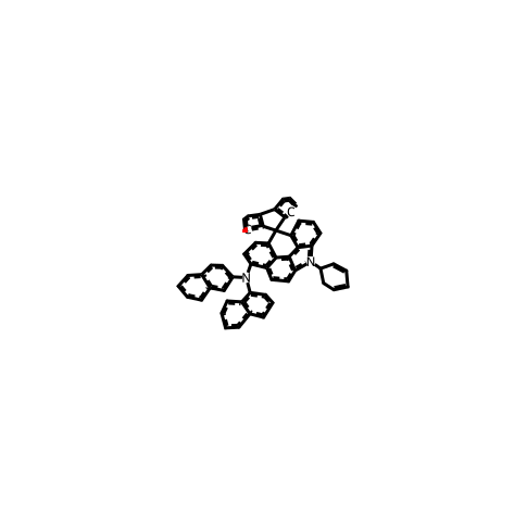 C1=CCC(n2c3cccc4c3c3c5c(ccc(N(c6ccc7ccccc7c6)c6cccc7ccccc67)c5ccc32)C42c3ccccc3-c3ccccc32)C=C1